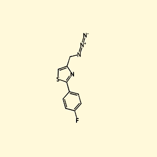 [N-]=[N+]=NCc1csc(-c2ccc(F)cc2)n1